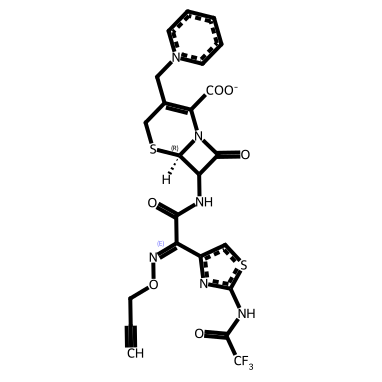 C#CCO/N=C(/C(=O)NC1C(=O)N2C(C(=O)[O-])=C(C[n+]3ccccc3)CS[C@H]12)c1csc(NC(=O)C(F)(F)F)n1